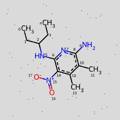 CCC(CC)Nc1nc(N)c(C)c(C)c1[N+](=O)[O-]